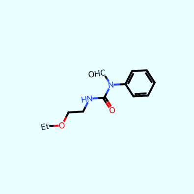 CCOCCNC(=O)N(C=O)c1ccccc1